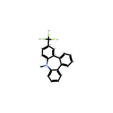 CN1c2ccccc2-c2ccccc2-c2cc(C(F)(F)F)ccc21